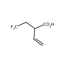 C=CC(CC(F)(F)F)C(=O)O